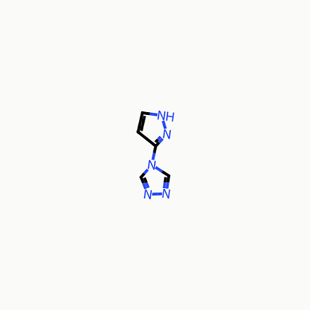 c1cc(-n2cnnc2)n[nH]1